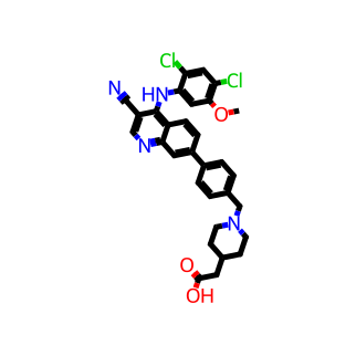 COc1cc(Nc2c(C#N)cnc3cc(-c4ccc(CN5CCC(CC(=O)O)CC5)cc4)ccc23)c(Cl)cc1Cl